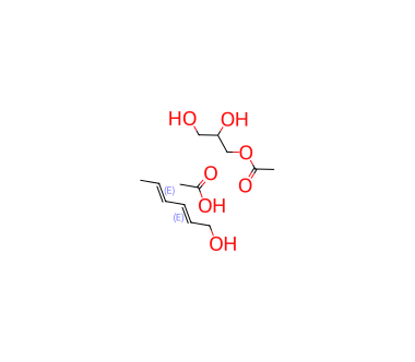 C/C=C/C=C/CO.CC(=O)O.CC(=O)OCC(O)CO